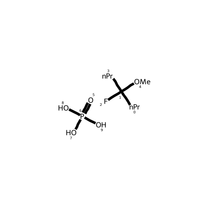 CCCC(F)(CCC)OC.O=P(O)(O)O